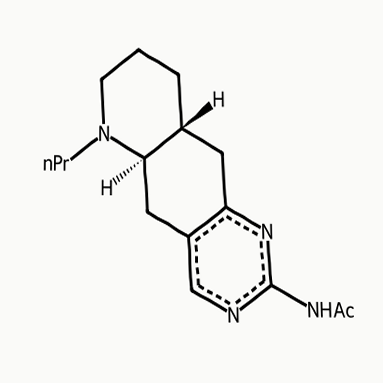 CCCN1CCC[C@@H]2Cc3nc(NC(C)=O)ncc3C[C@H]21